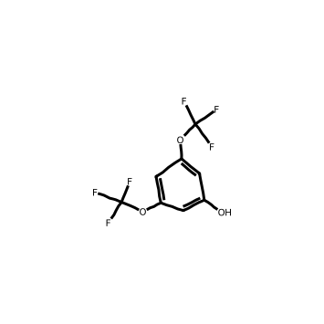 Oc1cc(OC(F)(F)F)cc(OC(F)(F)F)c1